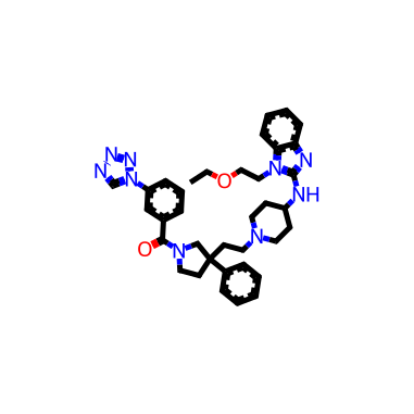 CCOCCn1c(NC2CCN(CCC3(c4ccccc4)CCN(C(=O)c4cccc(-n5cnnn5)c4)C3)CC2)nc2ccccc21